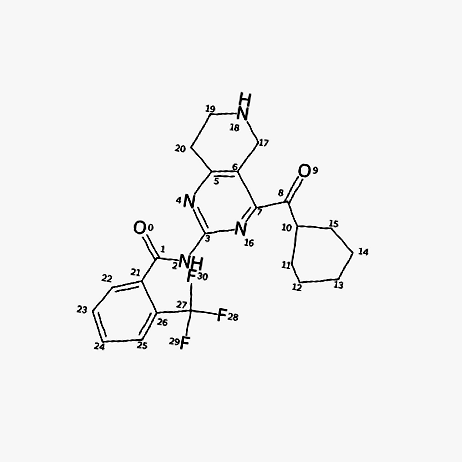 O=C(Nc1nc2c(c(C(=O)C3CCCCC3)n1)CNCC2)c1ccccc1C(F)(F)F